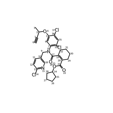 C#CC(C)Oc1cc(N(Cc2ccc(Cl)nc2)C(=O)C2=C(C(=O)OC3CCCC3)CCCC2)c(Cl)cc1Cl